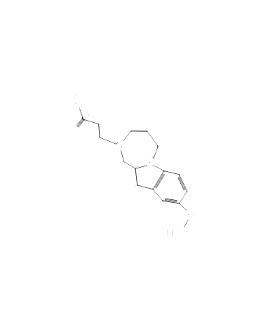 COc1ccc2c(c1)CC1CN(CCC(C)=O)CCCN21